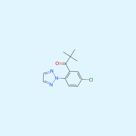 CC(C)(C)C(=O)c1cc(Cl)ccc1-n1nccn1